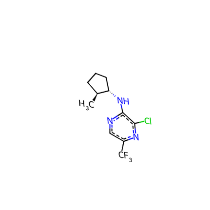 C[C@H]1CCC[C@@H]1Nc1ncc(C(F)(F)F)nc1Cl